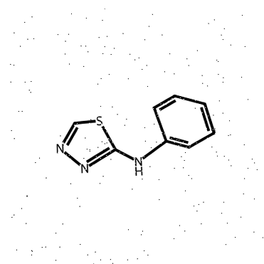 c1ccc(Nc2nncs2)cc1